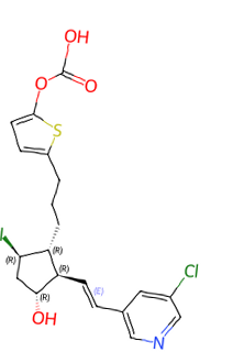 O=C(O)Oc1ccc(CCC[C@@H]2[C@@H](/C=C/c3cncc(Cl)c3)[C@H](O)C[C@H]2Cl)s1